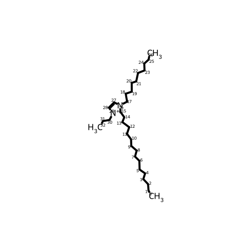 CCCCCCCCCCCCCCCc1n(CCCCCCCCCC)cc[n+]1CCC